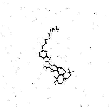 CC1(C)CCN2CCC(C)(C)c3c2c1cc1cc(-c2nc4cc(CCCCCN)ccc4s2)c(=O)oc31